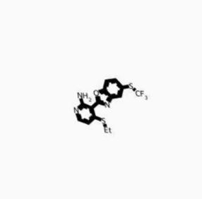 CCSc1ccnc(N)c1-c1nc2cc(SC(F)(F)F)ccc2o1